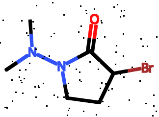 CN(C)N1CCC(Br)C1=O